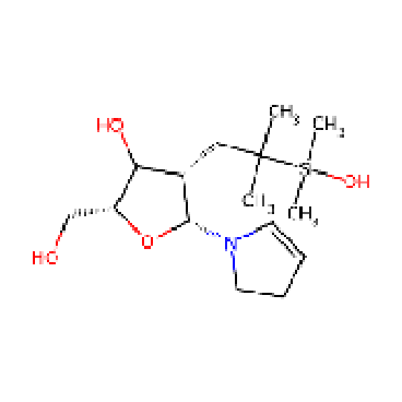 CC(C)(C[C@H]1C(O)[C@@H](CO)O[C@H]1N1C=CCC1)[Si](C)(C)O